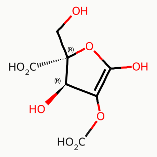 O=C(O)OC1=C(O)O[C@@](CO)(C(=O)O)[C@@H]1O